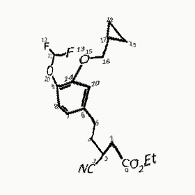 CCOC(=O)CC(C#N)CCc1ccc(OC(F)F)c(OCC2CC2)c1